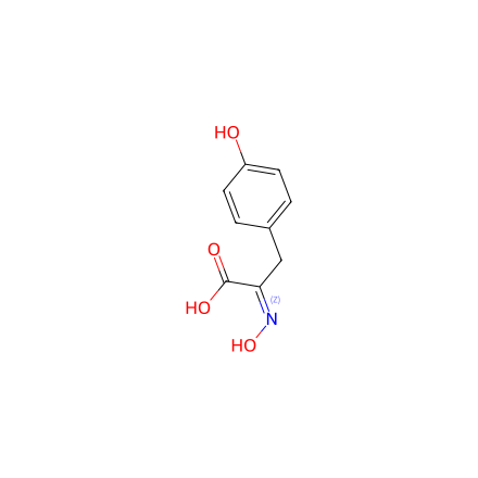 O=C(O)/C(Cc1ccc(O)cc1)=N\O